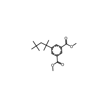 COC(=O)c1cc(C(=O)OC)cc(C(C)(C)CC(C)(C)C)c1